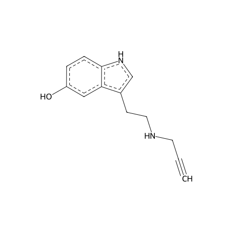 C#CCNCCc1c[nH]c2ccc(O)cc12